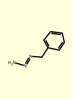 NN=NCc1ccccc1